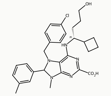 Cc1cccc(C2N(C)c3nc(C(=O)O)nc(N[C@H](CCCO)C4CCC4)c3N2Cc2ccc(Cl)cc2)c1